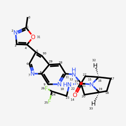 Cc1ncc(-c2cnc3cnc(NC(=O)N4[C@@H]5CC[C@H]4C[C@H](NCC(F)F)C5)cc3c2)o1